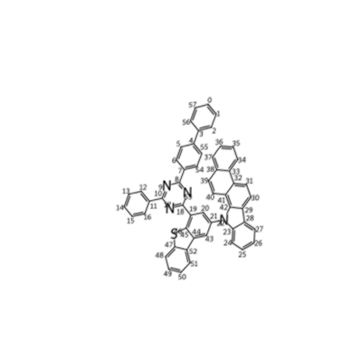 c1ccc(-c2ccc(-c3nc(-c4ccccc4)nc(-c4cc(-n5c6ccccc6c6ccc7c8ccccc8ccc7c65)cc5c4sc4ccccc45)n3)cc2)cc1